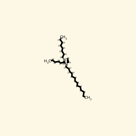 CCCCCCCCCCCCCCn1cc[n+](CCCCCCCC)c1CCCCC